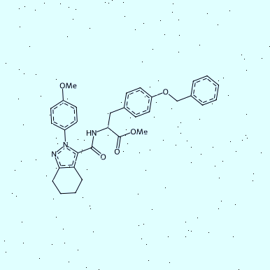 COC(=O)C(Cc1ccc(OCc2ccccc2)cc1)NC(=O)c1c2c(nn1-c1ccc(OC)cc1)CCCC2